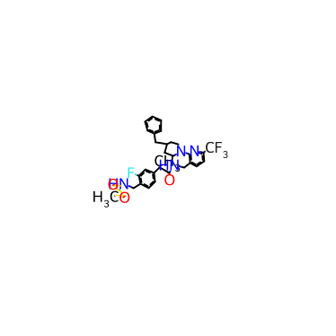 CC(C(=O)NCc1ccc(C(F)(F)F)nc1N1CCC(Cc2ccccc2)CC1)c1ccc(CNS(C)(=O)=O)c(F)c1